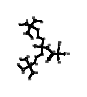 CO[Si](CCCC(F)(CCC[Si](OC)(OC)OC)OC(=O)C(F)(F)F)(OC)OC